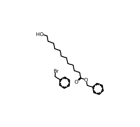 BrCc1ccccc1.O=C(CCCCCCCCCCCO)OCc1ccccc1